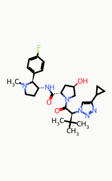 CN1CC[C@@H](NC(=O)[C@@H]2C[C@@H](O)CN2C(=O)[C@@H](n2cc(C3CC3)nn2)C(C)(C)C)[C@@H]1c1ccc(F)cc1